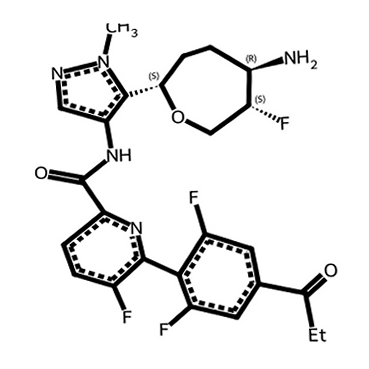 CCC(=O)c1cc(F)c(-c2nc(C(=O)Nc3cnn(C)c3[C@@H]3CC[C@@H](N)[C@H](F)CO3)ccc2F)c(F)c1